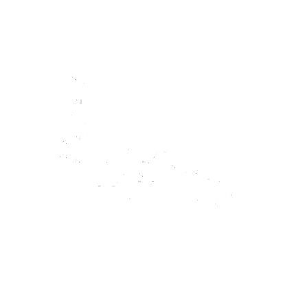 NC(=O)NCCn1nnnc1SCC1=C(C(=O)O)N2C(=O)C(NC(=O)Cc3cccs3)[C@H]2SC1